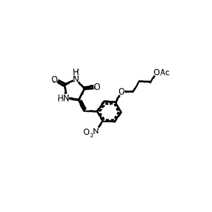 CC(=O)OCCCOc1ccc([N+](=O)[O-])c(C=C2NC(=O)NC2=O)c1